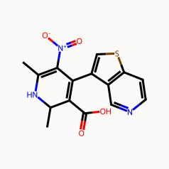 CC1=C([N+](=O)[O-])C(c2csc3ccncc23)=C(C(=O)O)C(C)N1